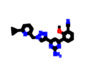 COc1c(C#N)cccc1-c1cc(-c2cn(Cc3cccc(C4CC4)n3)nn2)nc(N)n1